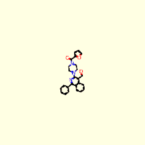 O=Cc1c(N2CCN(C(=O)c3ccco3)CC2)nc(-c2ccccc2)c2ccccc12